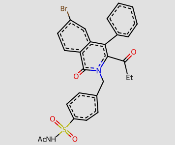 CCC(=O)c1c(-c2ccccc2)c2cc(Br)ccc2c(=O)n1Cc1ccc(S(=O)(=O)NC(C)=O)cc1